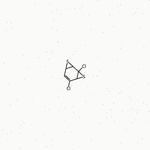 ClC1=CC2SC2C2(Cl)SC12